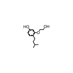 CC(C)CCc1ccc(O)cc1OCCO